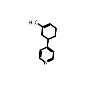 CC1=CCCC(c2ccncc2)C1